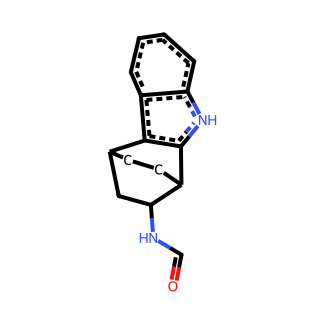 O=CNC1CC2CCC1c1[nH]c3ccccc3c12